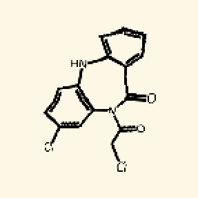 O=C(CCl)N1C(=O)c2ccccc2Nc2ccc(Cl)cc21